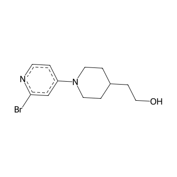 OCCC1CCN(c2ccnc(Br)c2)CC1